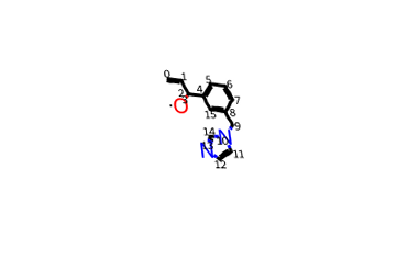 C=CC([O])c1cccc(Cn2ccnc2)c1